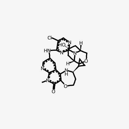 Cn1c(=O)c2c(c3cc(Nc4nc(N5[C@@H]6COC[C@H]5C[C@@H](O)C6)ncc4Cl)cnc31)N[C@@H](C1CC1)CCO2